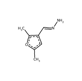 Cc1cc(C=NN)c(C)o1